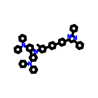 Cc1cc(-c2ccc(-c3ccc(-c4cc(-c5ccccc5)nc(-c5ccccc5)n4)cc3)cc2)ccc1-n1c2ccc(N(c3ccccc3)c3ccccc3)cc2c2cc(N(c3ccccc3)c3ccccc3)ccc21